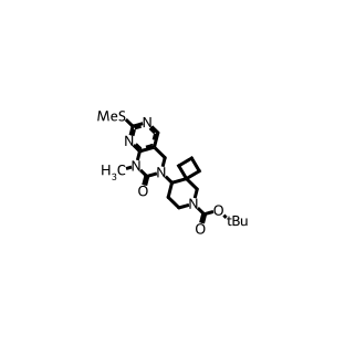 CSc1ncc2c(n1)N(C)C(=O)N(C1CCN(C(=O)OC(C)(C)C)CC13CCC3)C2